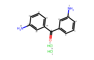 Cl.Cl.Nc1cccc(C(=O)c2cccc(N)c2)c1